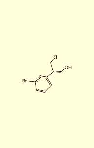 OC[C@H](CCl)c1cccc(Br)c1